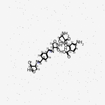 N[C@@H]1CONC1=O.Nc1ccc(C(=O)O)c(O)c1.O=C1NOCC1/N=C/c1ccc(/C=N/C2CONC2=O)cc1